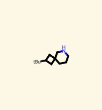 CC(C)(C)C1CC2(CCCNC2)C1